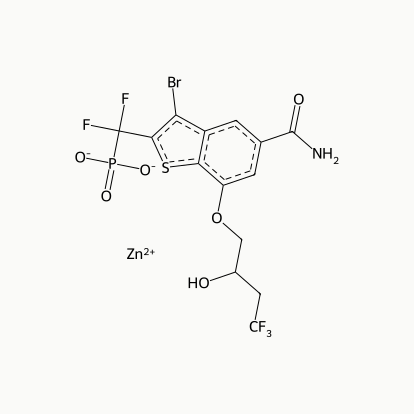 NC(=O)c1cc(OCC(O)CC(F)(F)F)c2sc(C(F)(F)P(=O)([O-])[O-])c(Br)c2c1.[Zn+2]